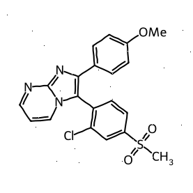 COc1ccc(-c2nc3ncccn3c2-c2ccc(S(C)(=O)=O)cc2Cl)cc1